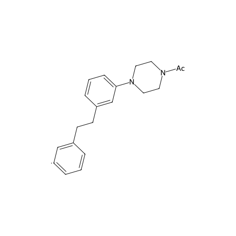 CC(=O)N1CCN(c2cccc(CCc3c[c]ccc3)c2)CC1